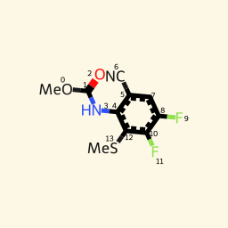 COC(=O)Nc1c(C#N)cc(F)c(F)c1SC